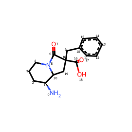 N[C@H]1CCCN2C(=O)C(Cc3ccccc3)(C(=O)O)CC12